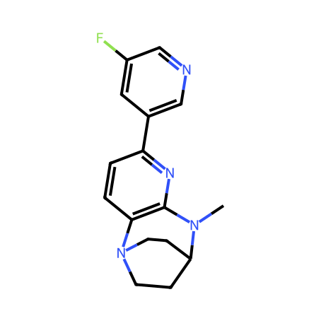 CN1c2nc(-c3cncc(F)c3)ccc2N2CCC1CC2